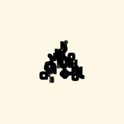 C/N=C/c1nn(C(C)c2ccc(C(F)(F)F)nc2)c2nc(C3CCC3c3nnc(C)o3)[nH]c(=O)c12